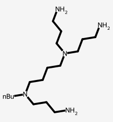 CCCCN(CCCN)CCCCN(CCCN)CCCN